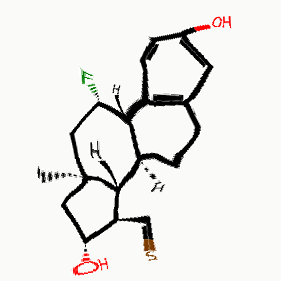 C[C@@]12C[C@@H](O)[C@H](C=S)[C@H]1[C@@H]1CCc3cc(O)ccc3[C@H]1[C@@H](F)C2